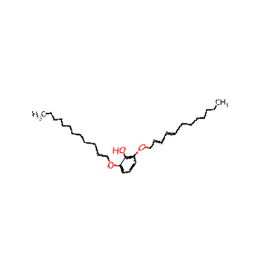 CCCCCCCCCCCCOc1cccc(OCCCCCCCCCCCC)c1O